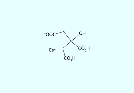 O=C([O-])CC(O)(CC(=O)O)C(=O)O.[Cs+]